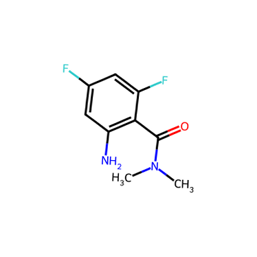 CN(C)C(=O)c1c(N)cc(F)cc1F